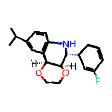 CC(C)c1ccc2c(c1)[C@@H]1OCCO[C@@H]1[C@@H](C1C=C(F)C=CC1)N2